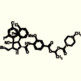 COc1cc(C(=O)OC(C)OC(=O)N2CCN(C)CC2)ccc1NC(=O)[C@@H]1N[C@@H](CC(C)(C)C)[C@](C#N)(c2ccc(Cl)cc2F)[C@H]1c1cccc(Cl)c1F